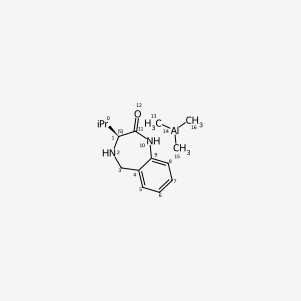 CC(C)[C@@H]1NCc2ccccc2NC1=O.[CH3][Al]([CH3])[CH3]